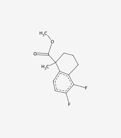 COC(=O)C1(C)CCCc2c1ccc(F)c2F